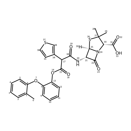 Cc1ccccc1Oc1ccccc1OC(=O)C(C(=O)N[C@H]1C(=O)N2[C@@H]1SC(C)(C)[C@@H]2C(=O)O)c1ccsc1